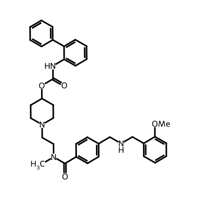 COc1ccccc1CNCc1ccc(C(=O)N(C)CCN2CCC(OC(=O)Nc3ccccc3-c3ccccc3)CC2)cc1